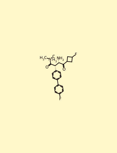 CN(C)C(=O)[C@@H](c1ccc(-c2ccc(F)cc2)cc1)[C@H](N)C(=O)C1CC(F)C1